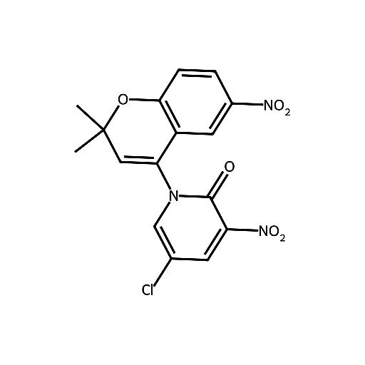 CC1(C)C=C(n2cc(Cl)cc([N+](=O)[O-])c2=O)c2cc([N+](=O)[O-])ccc2O1